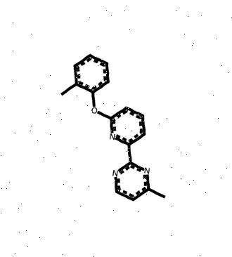 Cc1ccnc(-c2cccc(Oc3ccccc3C)n2)n1